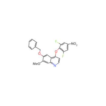 COc1cc2nccc(Oc3c(F)cc([N+](=O)[O-])cc3F)c2cc1OCc1ccccc1